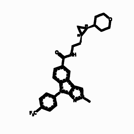 Cn1cc2c3cc(C(=O)NCC[C@@H]4C[C@H]4C4CCOCC4)ccc3n(-c3ccc(C(F)(F)F)cc3)c2n1